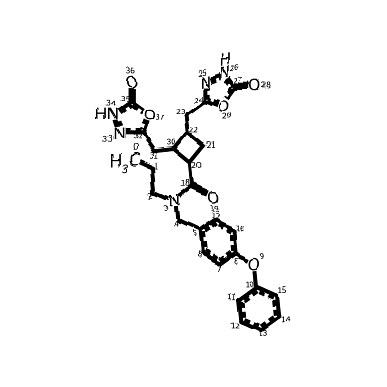 CCCN(Cc1ccc(Oc2ccccc2)cc1)C(=O)C1CC(Cc2n[nH]c(=O)o2)C1Cc1n[nH]c(=O)o1